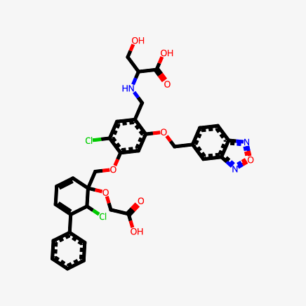 O=C(O)COC1(COc2cc(OCc3ccc4nonc4c3)c(CNC(CO)C(=O)O)cc2Cl)C=CC=C(c2ccccc2)C1Cl